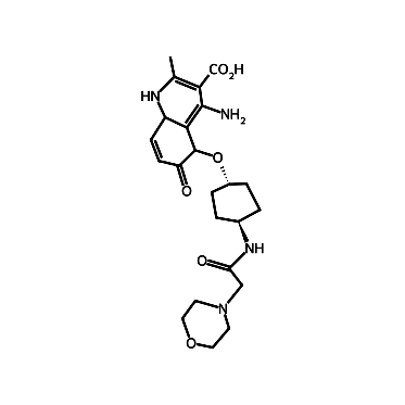 CC1=C(C(=O)O)C(N)=C2C(C=CC(=O)C2O[C@H]2CC[C@H](NC(=O)CN3CCOCC3)CC2)N1